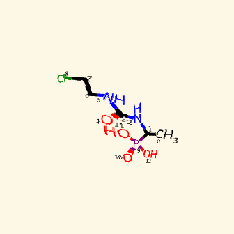 CC(NC(=O)NCCCl)P(=O)(O)O